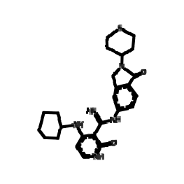 N=C(Nc1ccc2c(c1)CN(C1CCSCC1)C2=O)c1c(NC2CCCCC2)cc[nH]c1=O